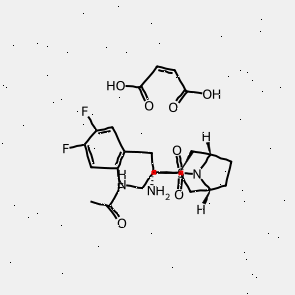 CC(=O)NCCS(=O)(=O)N1[C@@H]2CC[C@H]1C[C@H]([C@H](N)Cc1cc(F)c(F)cc1F)C2.O=C(O)/C=C\C(=O)O